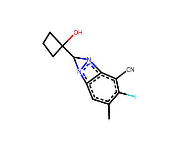 Cc1cc2c(c(C#N)c1F)n1n2C1C1(O)CCC1